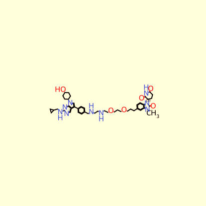 Cn1c(=O)n([C@H]2CCC(=O)NC2=O)c2ccc(CCCOCCCOCCNCCNCc3ccc(-c4cn([C@H]5CC[C@H](O)CC5)c5nc(NCC6CC6)ncc45)cc3)cc21